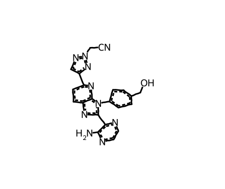 N#CCn1ncc(-c2ccc3nc(-c4nccnc4N)n(-c4ccc(CO)cc4)c3n2)n1